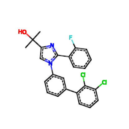 CC(C)(O)c1cn(-c2cccc(-c3cccc(Cl)c3Cl)c2)c(-c2ccccc2F)n1